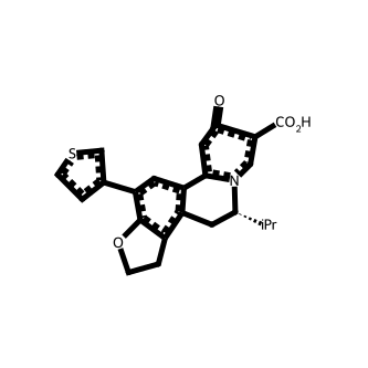 CC(C)[C@@H]1Cc2c(cc(-c3ccsc3)c3c2CCO3)-c2cc(=O)c(C(=O)O)cn21